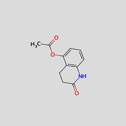 CC(=O)Oc1cccc2c1CCC(=O)N2